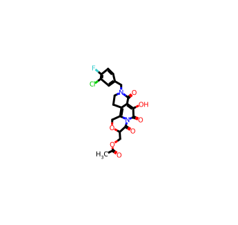 CC(=O)OCC1OCc2c3c(c(O)c(=O)n2C1=O)C(=O)N(Cc1ccc(F)c(Cl)c1)CC3